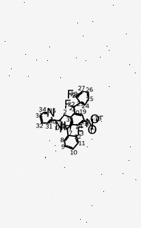 N=C(Cc1c(C(F)c2ccccc2F)cc([N+](=O)[O-])cc1C(F)c1ccccc1F)c1ccccn1